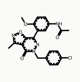 COc1ccc(NC(C)=O)cc1-c1nn(Cc2ccc(Cl)cc2)c(=O)c2c(C)noc12